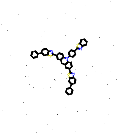 c1ccc(-c2ccc3nc(-c4ccc5c(c4)Cc4cc(-c6nc7ccc(-c8ccccc8)cc7s6)ccc4N5c4ccc(-c5nc6ccccc6s5)cc4)sc3c2)cc1